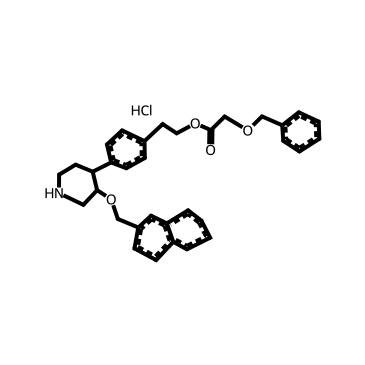 Cl.O=C(COCc1ccccc1)OCCc1ccc(C2CCNCC2OCc2ccc3ccccc3c2)cc1